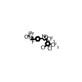 CC(C)C(=O)N1CC(F)(c2ccc(C3=NOC(c4cc(Cl)c(Cl)c(C(F)(F)F)c4)(C(F)(F)F)C3)cc2)C1